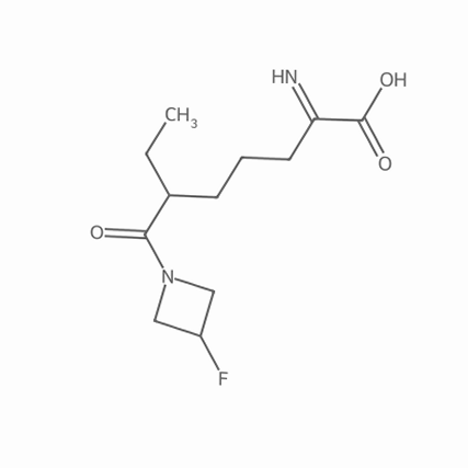 CCC(CCCC(=N)C(=O)O)C(=O)N1CC(F)C1